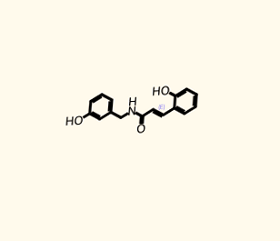 O=C(/C=C/c1ccccc1O)NCc1cccc(O)c1